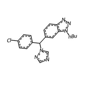 CCCCn1nnc2ccc(C(c3ccc(Cl)cc3)n3cncn3)cc21